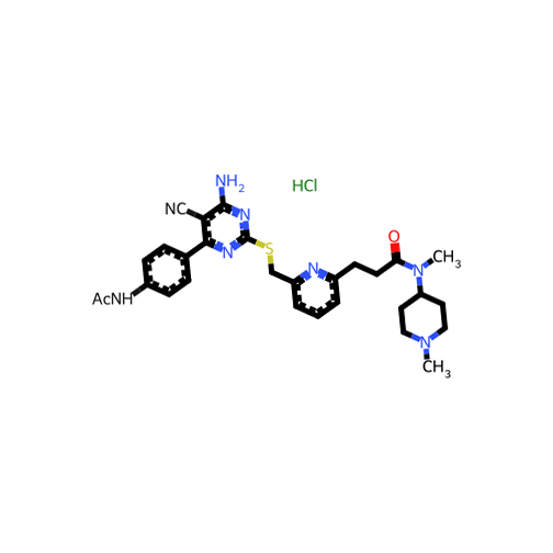 CC(=O)Nc1ccc(-c2nc(SCc3cccc(CCC(=O)N(C)C4CCN(C)CC4)n3)nc(N)c2C#N)cc1.Cl